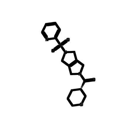 O=C([C@H]1CCCOC1)N1CC2=C(C1)CN(S(=O)(=O)c1ccccn1)C2